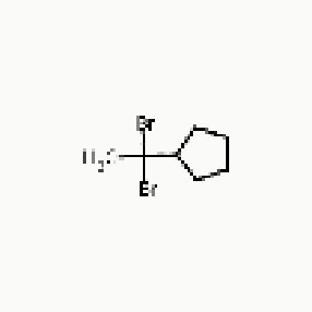 CC(Br)(Br)C1CCCC1